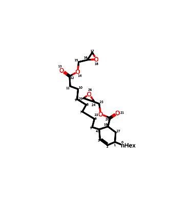 CCCCCCC1C=CC(CCCCCCCC(=O)OCC2CO2)C(C(=O)OCC2CO2)C1